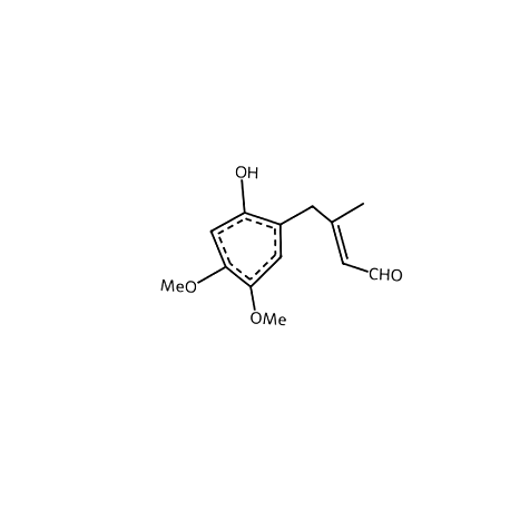 COc1cc(O)c(CC(C)=CC=O)cc1OC